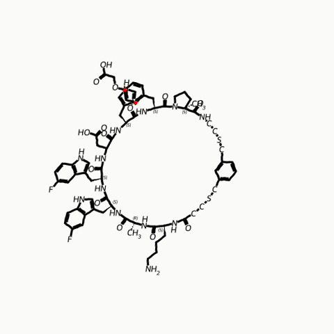 C[C@H]1NC(=O)[C@H](CCCCN)NC(=O)CCSCc2cccc(c2)CSCCNC(=O)[C@]2(C)CCCN2C(=O)[C@H](Cc2ccc(OCC(=O)O)cc2)NC(=O)[C@H](Cc2c[nH]cn2)NC(=O)C(CC(=O)O)NC(=O)[C@H](Cc2c[nH]c3ccc(F)cc23)NC(=O)[C@H](Cc2c[nH]c3ccc(F)cc23)NC1=O